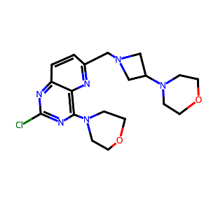 Clc1nc(N2CCOCC2)c2nc(CN3CC(N4CCOCC4)C3)ccc2n1